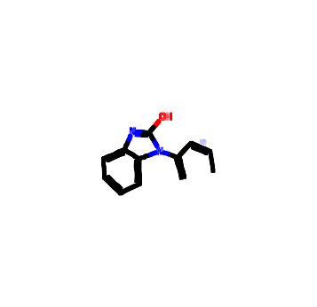 C=C(/C=C\C)n1c(O)nc2ccccc21